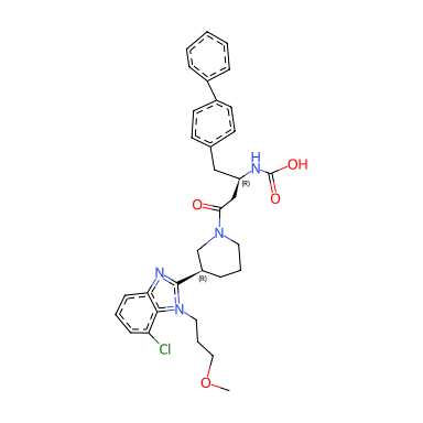 COCCCn1c([C@@H]2CCCN(C(=O)C[C@@H](Cc3ccc(-c4ccccc4)cc3)NC(=O)O)C2)nc2cccc(Cl)c21